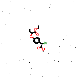 CCOC(=O)C(CC)Oc1ccc(C(Br)C(=O)OC)cc1